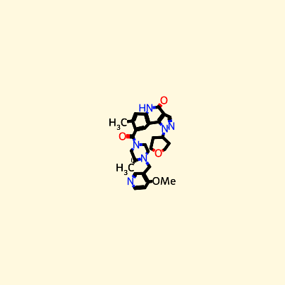 COc1ccncc1CN1CCN(C(=O)c2cc3c(cc2C)[nH]c(=O)c2cnn(C4CCOCC4)c23)C[C@@H]1C